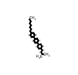 CCCCCCCCc1ccc(-c2ccc(C3CCC(CCC(C)C)CC3)cc2)cc1